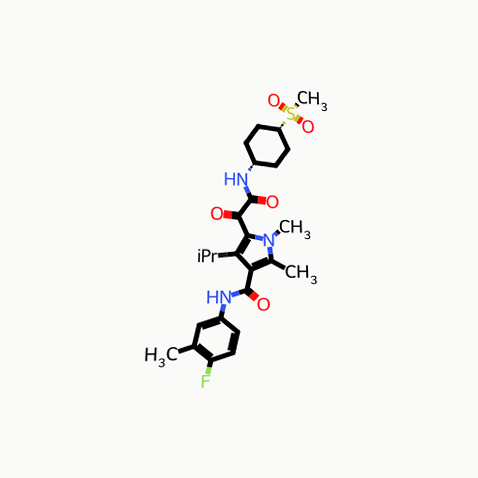 Cc1cc(NC(=O)c2c(C(C)C)c(C(=O)C(=O)N[C@H]3CC[C@@H](S(C)(=O)=O)CC3)n(C)c2C)ccc1F